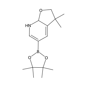 CC1(C)COC2NC=C(B3OC(C)(C)C(C)(C)O3)C=C21